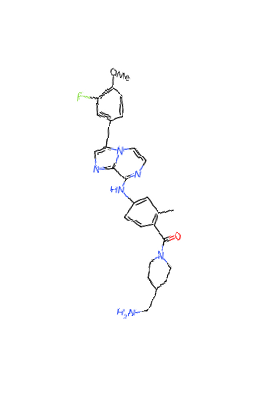 COc1ccc(-c2cnc3c(Nc4ccc(C(=O)N5CCC(CN)CC5)c(C)c4)nccn23)cc1F